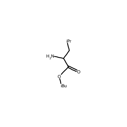 CCC(C)OC(=O)C(N)CC(C)C